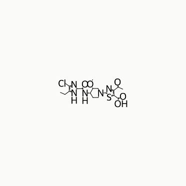 CCc1[nH]c(C(=O)N[C@@H]2CCN(c3nc(C(C)=O)c(C(=O)O)s3)C[C@@H]2OC)nc1Cl